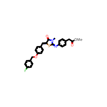 COC(=O)Cc1ccc(/N=C2/S/C(=C\c3ccc(OCc4ccc(F)cc4)cc3)C(=O)N2C)cc1